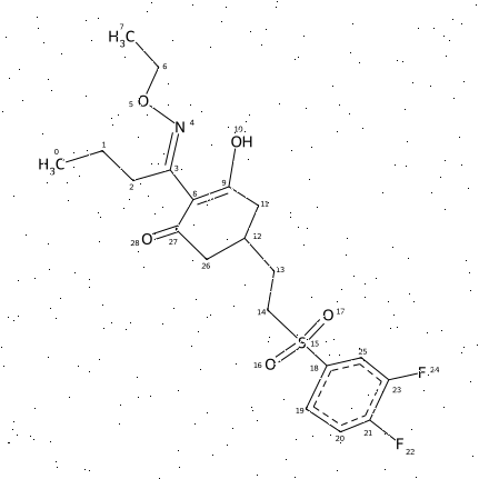 CCC/C(=N\OCC)C1=C(O)CC(CCS(=O)(=O)c2ccc(F)c(F)c2)CC1=O